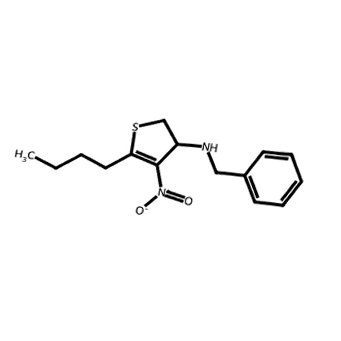 CCCCC1=C([N+](=O)[O-])C(NCc2ccccc2)CS1